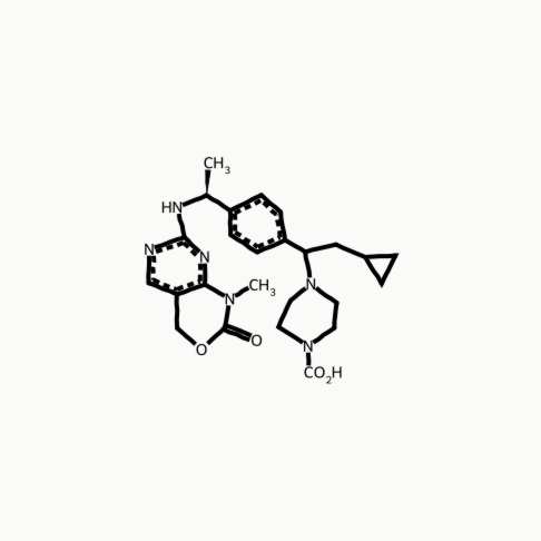 C[C@H](Nc1ncc2c(n1)N(C)C(=O)OC2)c1ccc(C(CC2CC2)N2CCN(C(=O)O)CC2)cc1